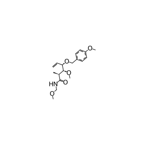 C=C[C@@H](OCc1ccc(OC)cc1)[C@@H](OC)[C@H](C)C(=O)NCOC